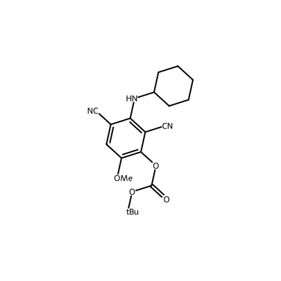 COc1cc(C#N)c(NC2CCCCC2)c(C#N)c1OC(=O)OC(C)(C)C